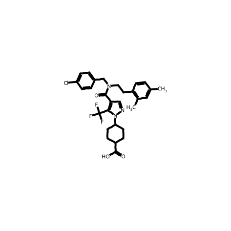 Cc1ccc(CCN(Cc2ccc(Cl)cc2)C(=O)c2cnn(C3CCC(C(=O)O)CC3)c2C(F)(F)F)c(C)c1